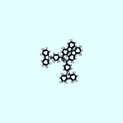 O=C(c1ccc(-n2c3ccccc3c3ccccc32)cc1)c1ccc2c(c1)C1(c3ccccc3-2)c2ccccc2-c2ccc(C(=O)c3ccc(-n4c5ccccc5c5ccccc54)cc3)cc21